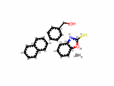 B.OCc1ccccc1.Sc1nc2ccccc2o1.c1ccc2ccccc2c1